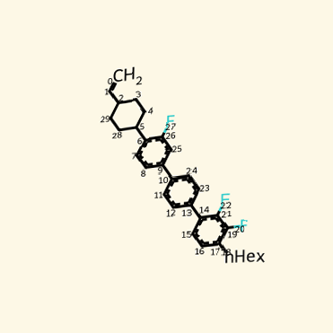 C=CC1CCC(c2ccc(-c3ccc(-c4ccc(CCCCCC)c(F)c4F)cc3)cc2F)CC1